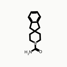 NC(=O)N1CCC2(CC1)Cc1ccccc1C2